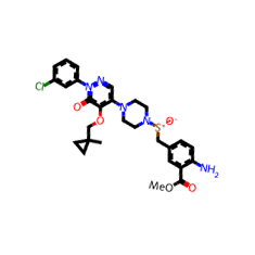 COC(=O)c1cc(C[S@@+]([O-])N2CCN(c3cnn(-c4cccc(Cl)c4)c(=O)c3OCC3(C)CC3)CC2)ccc1N